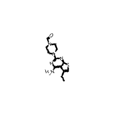 CCc1csc2nc(N3CCN(C=O)CC3)nc(N)c12